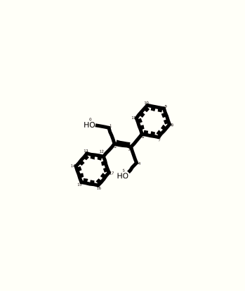 OCC(=C(CO)c1ccccc1)c1ccccc1